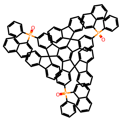 O=P(c1ccccc1)(c1ccc2c(c1)C1(c3ccccc3-c3ccccc31)c1c-2c2c(c3c1-c1ccc(P(=O)(c4ccccc4)c4cccc5ccccc45)cc1C31c3ccccc3-c3ccccc31)-c1ccc(P(=O)(c3ccccc3)c3cccc4ccccc34)cc1C21c2ccccc2-c2ccccc21)c1cccc2ccccc12